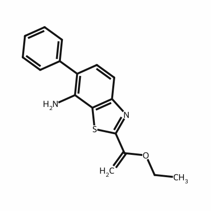 C=C(OCC)c1nc2ccc(-c3ccccc3)c(N)c2s1